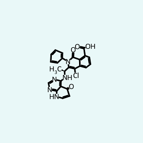 C[C@H](Nc1ncnc2[nH]ccc(=O)c12)c1c(Cl)c2cccc(C(=O)O)c2c(=O)n1-c1ccccc1